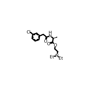 CCN(CC)CCOC(=O)[C@H](C)NC(=O)Cc1cccc(Cl)c1